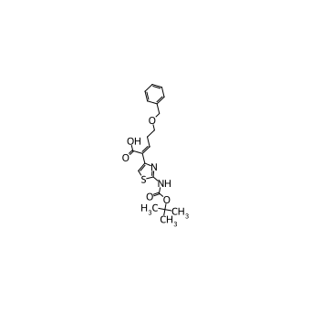 CC(C)(C)OC(=O)Nc1nc(/C(=C/CCOCc2ccccc2)C(=O)O)cs1